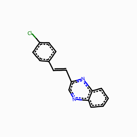 Clc1ccc(/C=C/c2cnc3ccccc3n2)cc1